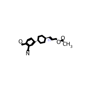 CC(=O)OC/C=C/[C@H]1CC[C@H](c2ccc(C=O)c(C#N)c2)CC1